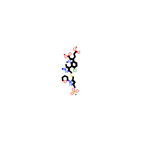 COC(=O)CCc1c(C(=O)OC)n(C)c2c(-c3c(CSCc4cc(COS(C)(=O)=O)nn4C4CCCCO4)nn(C)c3C)c(Cl)ccc12